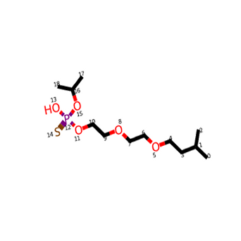 CC(C)CCOCCOCCOP(O)(=S)OC(C)C